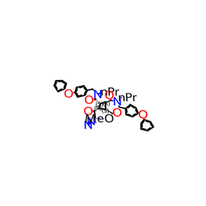 CCCN(Cc1ccc(Oc2ccccc2)cc1)C(=O)[C@H]1[C@@H](C(=O)C=[N+]=[N-])[C@H](C(=O)OC)[C@@H]1C(=O)N(CCC)Cc1ccc(Oc2ccccc2)cc1